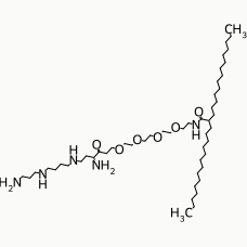 CCCCCCCCCCCCCCC(CCCCCCCCCCCCCC)C(=O)NCCOCCOCCOCCOCCC(=O)C(N)CCNCCCCNCCCN